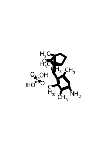 Cc1cc(N)c(C)c(C)c1C=C1C(=O)C2(C)CCC1C2(C)C.O=S(=O)(O)O